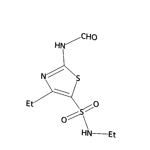 CCNS(=O)(=O)c1sc(NC=O)nc1CC